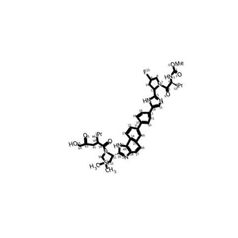 COC(=O)N[C@H](C(=O)N1CC(F)CC1c1ncc(-c2ccc(-c3ccc4c(ccc5nc([C@@H]6C[Si](C)(C)CN6C(=O)C(CC(=O)CO)C(C)C)[nH]c54)c3)cc2)[nH]1)C(C)C